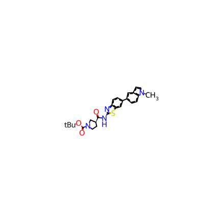 Cn1ccc2cc(-c3ccc4nc(NC(=O)[C@H]5CCN(C(=O)OC(C)(C)C)C5)sc4c3)ccc21